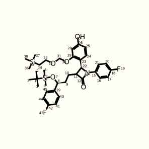 CC(C)(C)[Si](C)(C)O[C@@H](CCC1C(=O)N(c2ccc(F)cc2)[C@@H]1c1ccc(O)cc1OCOCC[Si](C)(C)C)c1ccc(F)cc1